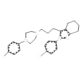 Clc1ccc(N2CCN(CCCc3c4c(nn3-c3ccc(Cl)cc3)CCCC4)CC2)cc1